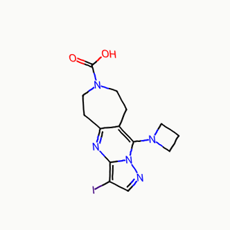 O=C(O)N1CCc2nc3c(I)cnn3c(N3CCC3)c2CC1